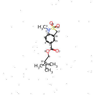 CN1c2ccc(C(=O)OCC[Si](C)(C)C)cc2CS1(=O)=O